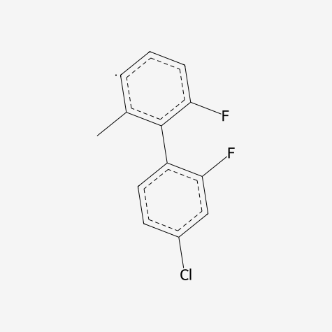 Cc1[c]ccc(F)c1-c1ccc(Cl)cc1F